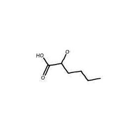 CCCCC([O])C(=O)O